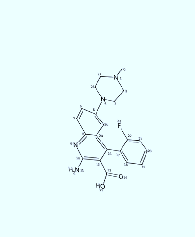 CN1CCN(c2ccc3nc(N)c(C(=O)O)c(-c4ccccc4F)c3c2)CC1